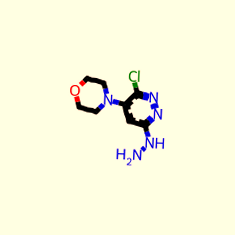 NNc1cc(N2CCOCC2)c(Cl)nn1